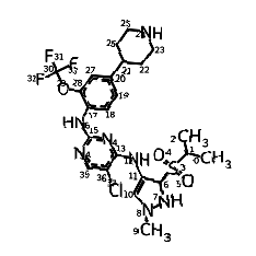 CC(C)S(=O)(=O)C1NN(C)C=C1Nc1nc(Nc2ccc(C3CCNCC3)cc2OC(F)(F)F)ncc1Cl